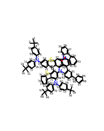 CC(C)(C)c1ccc(N(c2ccc(C(C)(C)C)cc2)c2ccc3c(c2)Sc2cc(-n4c5ccccc5c5ccccc54)cc4c2B3c2c(cc(N(c3ccc(C(C)(C)C)cc3)c3ccc(C(C)(C)C)cc3)c3c2sc2ccccc23)N4c2ccc(-c3ccccc3)cc2-c2ccccc2)cc1